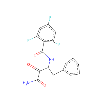 NC(=O)C(=O)C(Cc1ccccc1)NC(=O)c1c(F)cc(F)cc1F